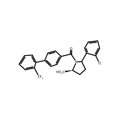 O=C(O)[C@@H]1CCC(c2ccccc2Cl)N1C(=O)c1ccc(-c2ccccc2C(F)(F)F)cc1